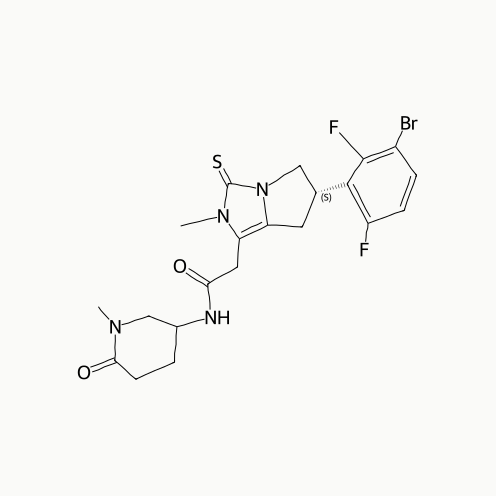 CN1CC(NC(=O)Cc2c3n(c(=S)n2C)C[C@H](c2c(F)ccc(Br)c2F)C3)CCC1=O